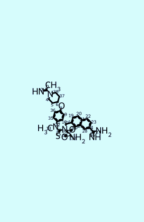 CC(=N)N1CCC(Oc2ccc(N(C)C(=S)N(Cc3ccc4ccc(C(=N)N)cc4c3)S(N)(=O)=O)cc2)CC1